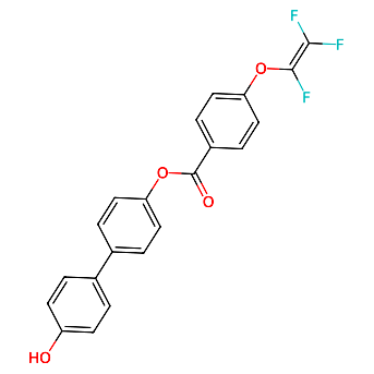 O=C(Oc1ccc(-c2ccc(O)cc2)cc1)c1ccc(OC(F)=C(F)F)cc1